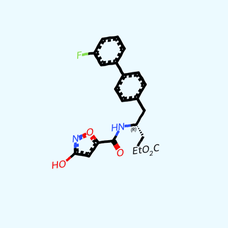 CCOC(=O)C[C@@H](Cc1ccc(-c2cccc(F)c2)cc1)NC(=O)c1cc(O)no1